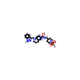 Cn1nc(CN2CCCc3cc(C(=O)NCC4CCN(S(C)(=O)=O)CC4)ccc32)c2ccccc21